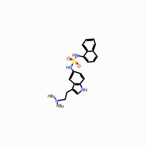 CCCCN(CCCC)CCc1c[nH]c2ccc(NS(=O)(=O)Nc3cccc4ccccc34)cc12